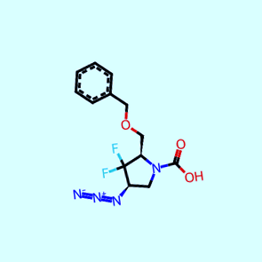 [N-]=[N+]=N[C@@H]1CN(C(=O)O)[C@H](COCc2ccccc2)C1(F)F